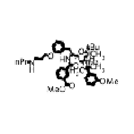 CCCNCCCOc1cccc(C[C@H](NC(=O)c2cccc(C(=O)OC)c2)[C@@H](CNC(C)(C)c2cccc(OC)c2)O[Si](C)(C)C(C)(C)C)c1